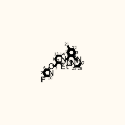 CCC1C(COc2ccc(F)cn2)CCCN1C(=O)c1cc(C)ccc1-c1ncccn1